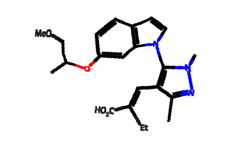 CC/C(=C\c1c(C)nn(C)c1-n1ccc2ccc(OC(C)COC)cc21)C(=O)O